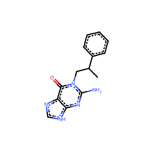 CC(Cn1c(N)nc2[nH]cnc2c1=O)c1ccccc1